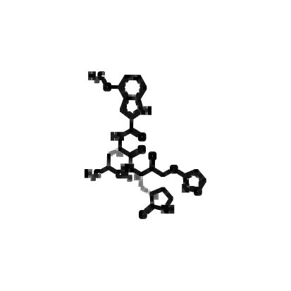 COc1cccc2[nH]c(C(=O)N[C@@H](CC(C)C)C(=O)N[C@@H](C[C@@H]3CCNC3=O)C(=O)COc3ccon3)cc12